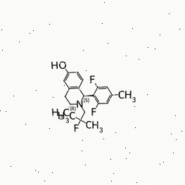 Cc1cc(F)c([C@@H]2c3ccc(O)cc3C[C@@H](C)N2CC(C)(C)F)c(F)c1